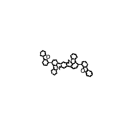 c1ccc2c(c1)oc1c(-c3ccc4c5cc6c(cc5n5c7ccccc7c3c45)c3ccc(-c4cccc5c4oc4ccccc45)c4c5ccccc5n6c34)cccc12